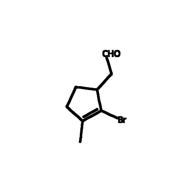 CC1=C(Br)C(CC=O)CC1